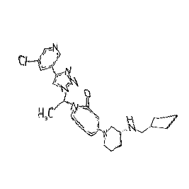 CC(n1cc(-c2cncc(Cl)c2)nn1)n1ccc(N2CCC[C@@H](NCC3CCC3)C2)cc1=O